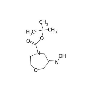 CC(C)(C)OC(=O)N1CCOC/C(=N/O)C1